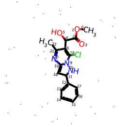 COC(=O)C(O)C1=C(Cl)N2NC(c3ccccc3)C=C2N=C1C